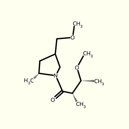 COCC1C[C@@H](C)N(C(=O)[C@@H](C)[C@@H](C)OC)C1